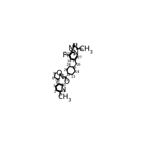 Cc1ccc([C@@H]2CCON2C(=O)[C@H]2CC[C@H](Cc3cc(F)c4nnc(C)n4c3)CC2)cn1